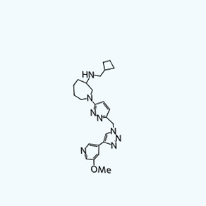 COc1cncc(-c2cn(Cc3ccc(N4CCCCC(NCC5CCC5)C4)nn3)nn2)c1